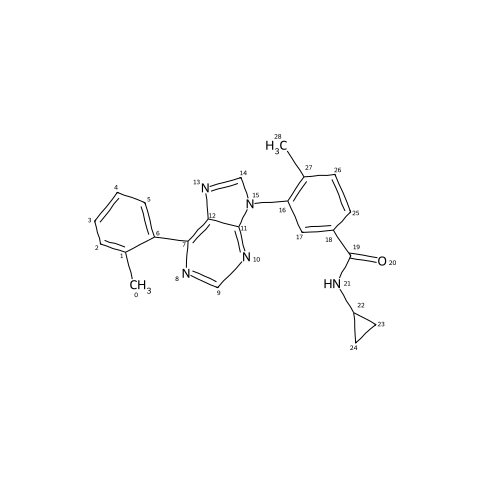 Cc1ccccc1-c1ncnc2c1ncn2-c1cc(C(=O)NC2CC2)ccc1C